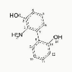 Nc1c(O)cccc1-c1ccccc1O